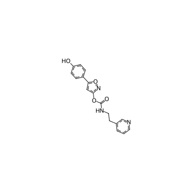 O=C(NCCc1cccnc1)Oc1cc(-c2ccc(O)cc2)on1